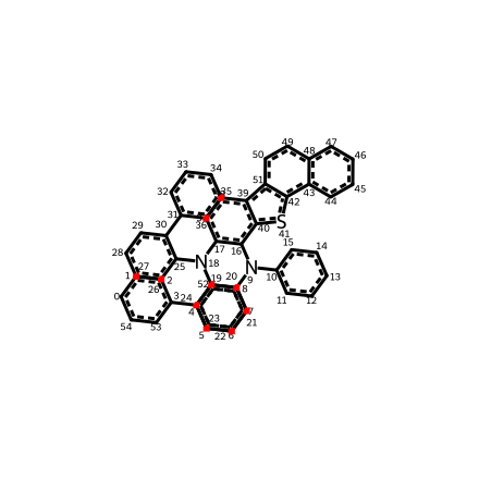 c1ccc(-c2cccc(N(c3ccccc3)c3c(N(c4ccccc4)c4ccccc4-c4ccccc4)ccc4c3sc3c5ccccc5ccc43)c2)cc1